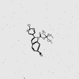 CC(C)(C)OC(=O)n1c(-c2cnc(Cl)nc2)cc2ccc(C#N)cc21